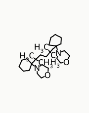 CC(C)(CCC(C)(C)C1(N2CCOCC2)CCCCC1)C1(N2CCOCC2)CCCCC1